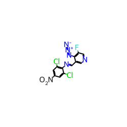 [N-]=[N+]=Nc1c(F)cncc1/C=N/c1c(Cl)cc([N+](=O)[O-])cc1Cl